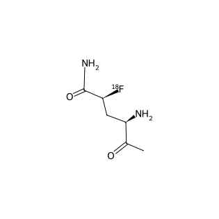 CC(=O)[C@H](N)C[C@H]([18F])C(N)=O